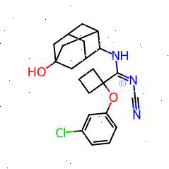 N#C/N=C(/NC1C2CC3CC1CC(O)(C3)C2)C1(Oc2cccc(Cl)c2)CCC1